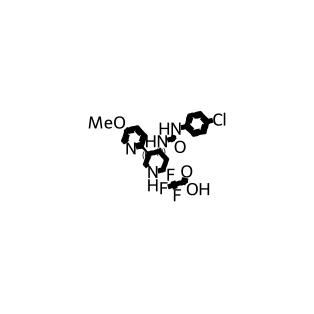 COc1ccc([C@@H]2CNCC[C@H]2NC(=O)Nc2ccc(Cl)cc2)nc1.O=C(O)C(F)(F)F